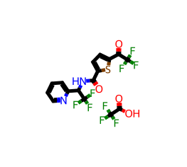 O=C(NC(c1ccccn1)C(F)(F)F)c1ccc(C(=O)C(F)(F)F)s1.O=C(O)C(F)(F)F